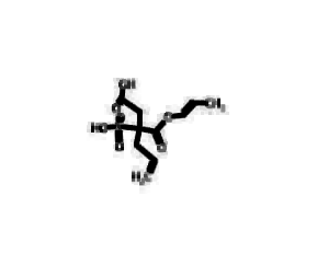 C=CCC(CC(=O)O)(C(=O)OC=CC)S(=O)(=O)O